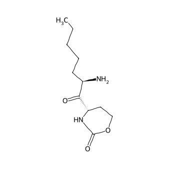 CCCCC[C@@H](N)C(=O)[C@@H]1CCOC(=O)N1